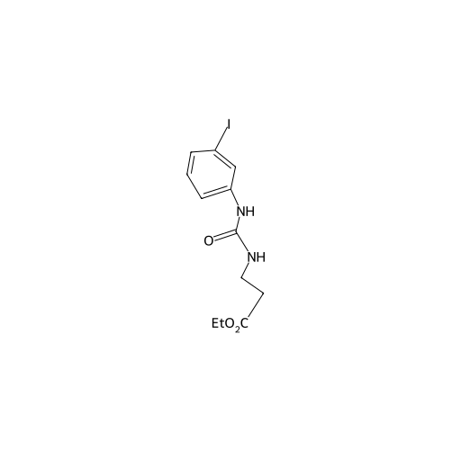 CCOC(=O)CCNC(=O)Nc1cccc(I)c1